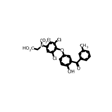 CCOC(=O)N(CC(=O)O)c1cc(Cl)c(Oc2ccc(O)c(C(=O)c3cccc(C)c3)c2)c(Cl)c1